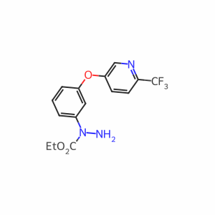 CCOC(=O)N(N)c1cccc(Oc2ccc(C(F)(F)F)nc2)c1